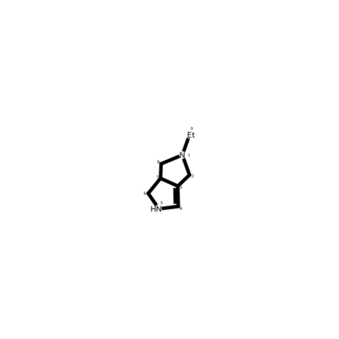 CCN1CC2=CNCC2C1